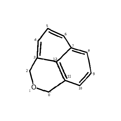 [CH]1OCc2cccc3cccc1c23